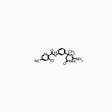 CC1(c2cccc(NC(=O)c3ncc(C#N)cc3Cl)c2)CC(=O)NC(N)=N1